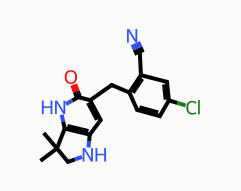 CC1(C)CNc2cc(Cc3ccc(Cl)cc3C#N)c(=O)[nH]c21